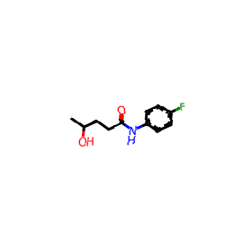 CC(O)CCC(=O)Nc1ccc(F)cc1